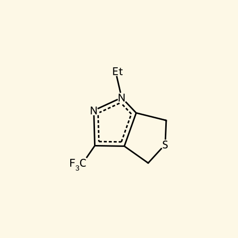 CCn1nc(C(F)(F)F)c2c1CSC2